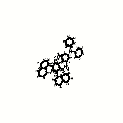 Cc1cc(N(c2ccccc2)c2ccccc2)cc(C)c1-c1c(C#N)c(-c2cccc3ccccc23)nc(-c2cccc3ccccc23)c1C#N